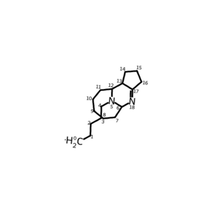 [CH2]CCCCN1C2CCCCCC1C1CCCC1=N2